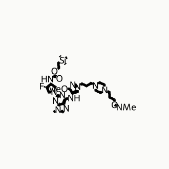 CNOCCCN1CCN(CCCn2cc(Nc3nc(N4C[C@@H](F)[C@H](NC(=O)OCC[Si](C)(C)C)C4)nc4c3ncn4C)c(OC)n2)CC1